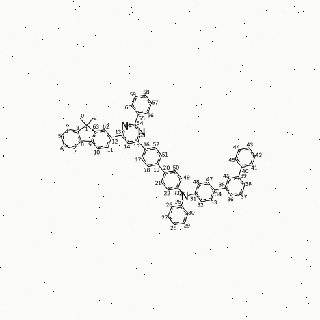 CC1(C)c2ccccc2-c2ccc(-c3cc(-c4ccc(-c5ccc(N(c6ccccc6)c6ccc(-c7cccc(-c8ccccc8)c7)cc6)cc5)cc4)nc(-c4ccccc4)n3)cc21